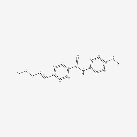 CCC/C=C/c1ccc(C(=O)Nc2ccc(OC)cc2)cc1